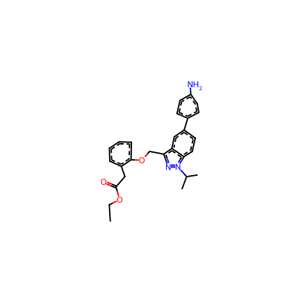 CCOC(=O)Cc1ccccc1OCc1nn(C(C)C)c2ccc(-c3ccc(N)cc3)cc12